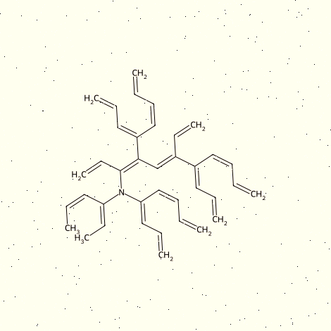 C=C\C=C/C(=C\C=C)C(/C=C)=C/C(C(/C=C\C=C)=C/C=C)=C(/C=C)N(C(/C=C\C)=C/C)C(/C=C\C=C)=C/C=C